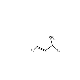 [CH2]CC=CC(C)C[CH2]